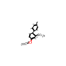 Cc1ccc(-c2ccc(OC=O)cc2S(=O)(=O)O)cc1